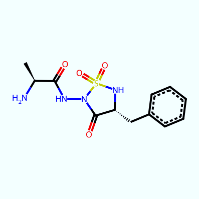 C[C@H](N)C(=O)NN1C(=O)[C@@H](Cc2ccccc2)NS1(=O)=O